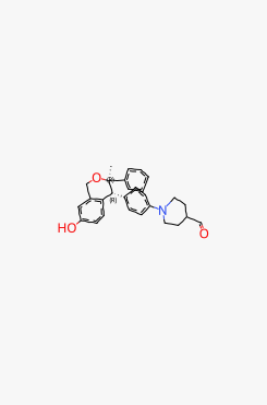 C[C@@]1(c2ccccc2)OCc2cc(O)ccc2[C@H]1c1ccc(N2CCC(C=O)CC2)cc1